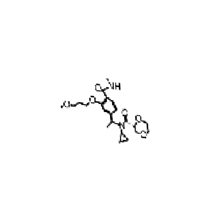 CNC(=O)c1ccc(C(C)N(C(=O)[C@H]2COCCO2)C2CC2)cc1OCCCOC